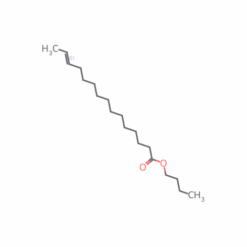 C/C=C/CCCCCCCCCCCC(=O)OCCCC